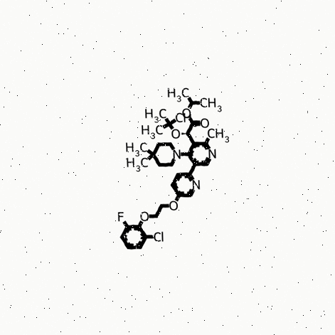 Cc1ncc(-c2ccc(OCCOc3c(F)cccc3Cl)cn2)c(N2CCC(C)(C)CC2)c1[C@H](OC(C)(C)C)C(=O)OC(C)C